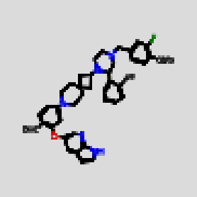 COc1ccc(CN2CCN(C3CC4(CCN(c5ccc(C=O)c(Oc6cnc7[nH]ccc7c6)c5)CC4)C3)C(c3ccccc3C(C)C)C2)cc1F